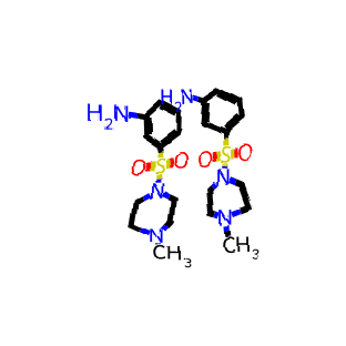 CN1CCN(S(=O)(=O)c2cccc(N)c2)CC1.CN1CCN(S(=O)(=O)c2cccc(N)c2)CC1